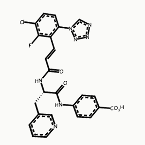 O=C(C=Cc1c(-n2cnnn2)ccc(Cl)c1F)N[C@@H](Cc1cccnc1)C(=O)Nc1ccc(C(=O)O)cc1